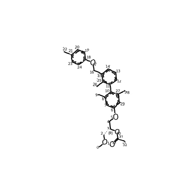 COC[C@H](COc1cc(C)c(-c2cccc(COc3ccc(C)cc3)c2C)c(C)c1)OC(C)=O